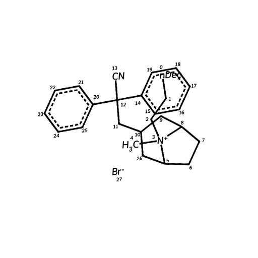 CCCCCCCCCCCC[N+]1(C)C2CCC1CC(CC(C#N)(c1ccccc1)c1ccccc1)C2.[Br-]